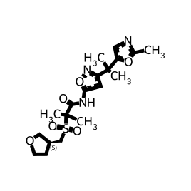 Cc1ncc(C(C)(C)c2cc(NC(=O)C(C)(C)S(=O)(=O)C[C@H]3CCOC3)on2)o1